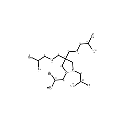 CCCCC(CC)COCC(COCC(CC)CCCC)(COCC(CC)CCCC)COCC(CC)CCCC